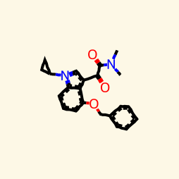 CN(C)C(=O)C(=O)c1cn(C2CC2)c2cccc(OCc3ccccc3)c12